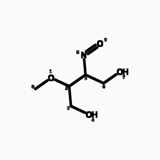 COC(CO)C(CO)N=O